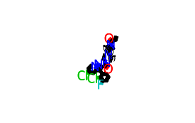 C=CC(=O)N1C[C@@H](N2CCN(C(=O)c3nn4ccc(Cl)cc4c3-c3cccc(F)c3Cl)C[C@@H]2C)[C@H]1C